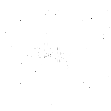 O=C([C@H](O)[C@@H](O)[C@H](O)[C@H](O)COC1(O)O[C@H](CO)[C@@H](O)[C@H](O)[C@H]1O)[C@@]1(O)O[C@@H](CO)[C@H](O)[C@@H](O)[C@@H]1O